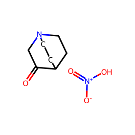 O=C1CN2CCC1CC2.O=[N+]([O-])O